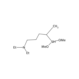 CCN(CC)CCCC(C)[SiH](OC)OC